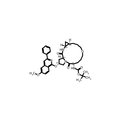 COc1ccc2c(O[C@@H]3C[C@H]4C(=O)N[C@@H]5C[C@H]5CCCOCCC[C@H](NC(=O)OC(C)(C)C)C(=O)N4C3)nc(-c3ccccc3)cc2c1